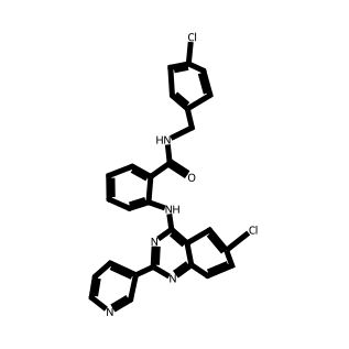 O=C(NCc1ccc(Cl)cc1)c1ccccc1Nc1nc(-c2cccnc2)nc2ccc(Cl)cc12